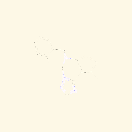 Cc1csc2c1-c1ncnn1CN2Cc1ccccc1Cl